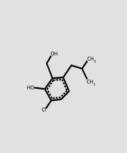 C[C](C)Cc1ccc(Cl)c(O)c1CO